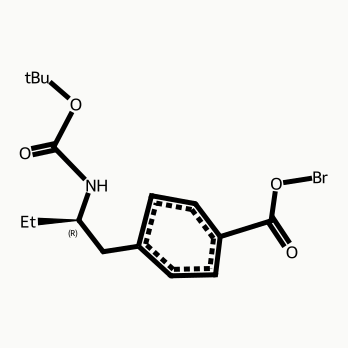 CC[C@H](Cc1ccc(C(=O)OBr)cc1)NC(=O)OC(C)(C)C